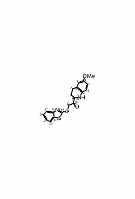 COc1ccc2c(c1)CCC(C(=O)CSc1nc3ccccc3s1)N2